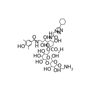 Cc1cc(C(=O)NC[C@@H](O)[C@@H](O)C2O[C@@](OCC3OC(O[C@@H]4C(CO)O[C@@H](OCCN)C(O)C4O)[C@@H](O)C(O)[C@H]3O)(C(=O)O)CC(O)[C@H]2NC(=O)Cn2cc(C3CCCCC3)nn2)cc(C)c1O